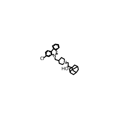 O[C@H](CN1CCC(CN2Sc3ccccc3-c3ccc(Cl)cc32)CC1)C12CC3CC(CC(C3)C1)C2